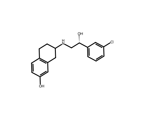 Oc1ccc2c(c1)CC(NC[C@H](O)c1cccc(Cl)c1)CC2